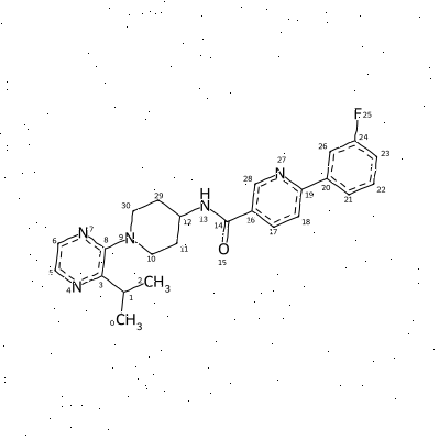 CC(C)c1nccnc1N1CCC(NC(=O)c2ccc(-c3cccc(F)c3)nc2)CC1